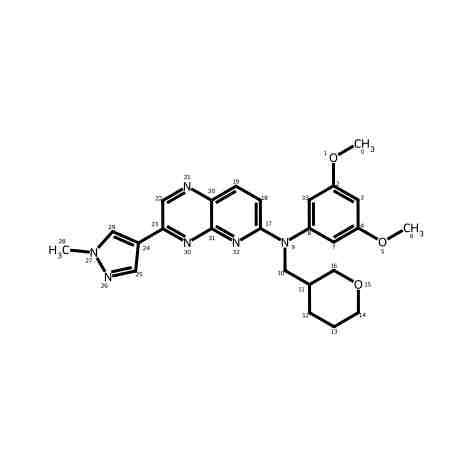 COc1cc(OC)cc(N(CC2CCCOC2)c2ccc3ncc(-c4cnn(C)c4)nc3n2)c1